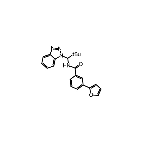 CC(C)(C)C(NC(=O)c1cccc(-c2ccco2)c1)n1nnc2ccccc21